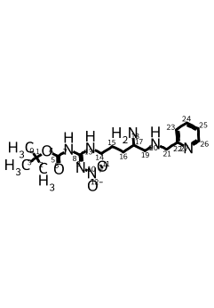 CC(C)(C)OC(=O)NC(=N[N+](=O)[O-])NCCCC(N)CNCc1ccccn1